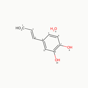 O.O=C(O)/C=C/c1ccc(O)c(O)c1